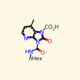 CCCCCCNC(=O)n1c(=O)n(C(=O)O)c2c(C)ccnc21